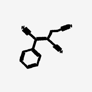 N#CCC(C#N)=C(C#N)c1ccccc1